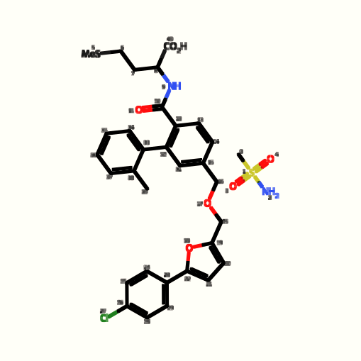 CS(N)(=O)=O.CSCCC(NC(=O)c1ccc(COCc2ccc(-c3ccc(Cl)cc3)o2)cc1-c1ccccc1C)C(=O)O